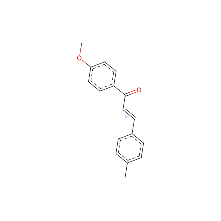 COc1ccc(C(=O)/C=C/c2ccc(C)cc2)cc1